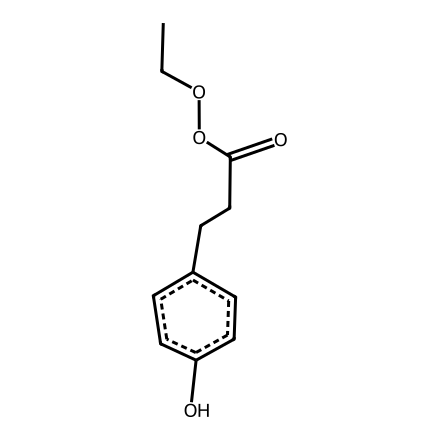 CCOOC(=O)CCc1ccc(O)cc1